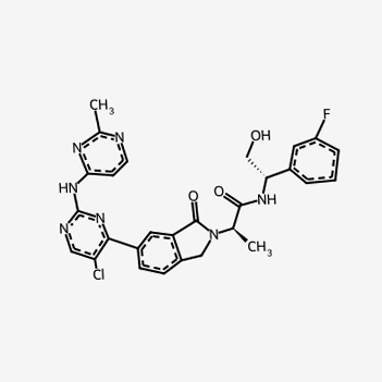 Cc1nccc(Nc2ncc(Cl)c(-c3ccc4c(c3)C(=O)N([C@H](C)C(=O)N[C@H](CO)c3cccc(F)c3)C4)n2)n1